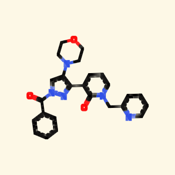 O=C(c1ccccc1)n1cc(N2CCOCC2)c(-c2cccn(Cc3ccccn3)c2=O)n1